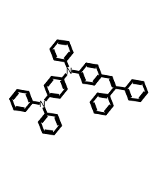 C(=C(c1ccccc1)c1ccccc1)c1ccc(N(c2ccccc2)c2ccc(N(c3ccccc3)c3ccccc3)cc2)cc1